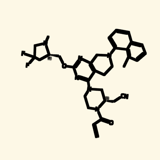 C=CC(=O)N1CCN(c2nc(OC[C@@H]3CC(F)(F)CN3C)nc3c2CCN(c2cccc4cccc(C)c24)C3)C[C@@H]1CC#N